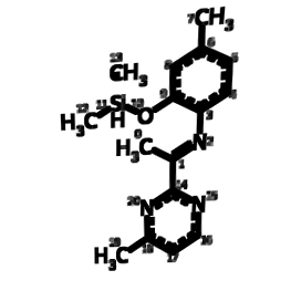 CC(=Nc1ccc(C)cc1O[SiH](C)C)c1nccc(C)n1